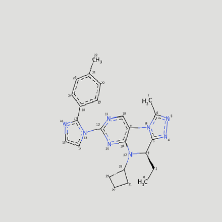 CC[C@@H]1c2nnc(C)n2-c2cnc(-n3ccnc3-c3ccc(C)cc3)nc2N1C1CCC1